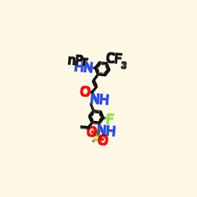 C=Cc1cc(CNC(=O)C=Cc2ccc(C(F)(F)F)cc2NCCC)cc(F)c1NS(C)(=O)=O